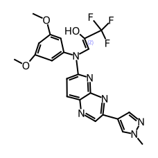 COc1cc(OC)cc(N(/C=C(\O)C(F)(F)F)c2ccc3ncc(-c4cnn(C)c4)nc3n2)c1